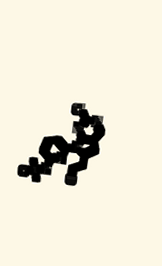 CS(C)(=O)=Nc1cccc(-n2c(CC=O)cc3cnc(Cl)nc32)n1